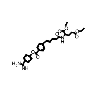 CCOC(=O)CCC(NC(=O)C=CC=Cc1ccc(C(=O)Oc2ccc(C(=N)N)cc2)cc1)C(=O)OCC